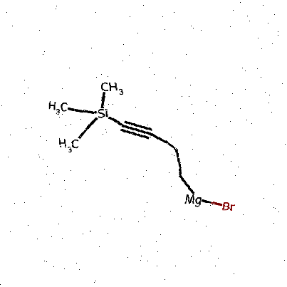 C[Si](C)(C)C#CC[CH2][Mg][Br]